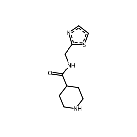 O=C(NCc1nccs1)C1CCNCC1